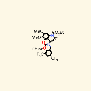 CCCCCCOC(=O)N(Cc1cc(C(F)(F)F)cc(C(F)(F)F)c1)[C@H]1C[C@@H](C)N(C(=O)OCC)c2cc(OC)c(OC)cc21